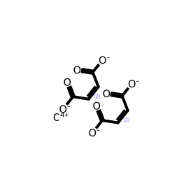 O=C([O-])/C=C\C(=O)[O-].O=C([O-])/C=C\C(=O)[O-].[C+4]